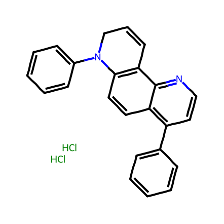 C1=Cc2c(ccc3c(-c4ccccc4)ccnc23)N(c2ccccc2)C1.Cl.Cl